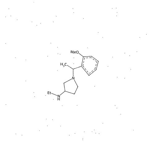 CCNC1CCN(C(C)c2ccccc2OC)C1